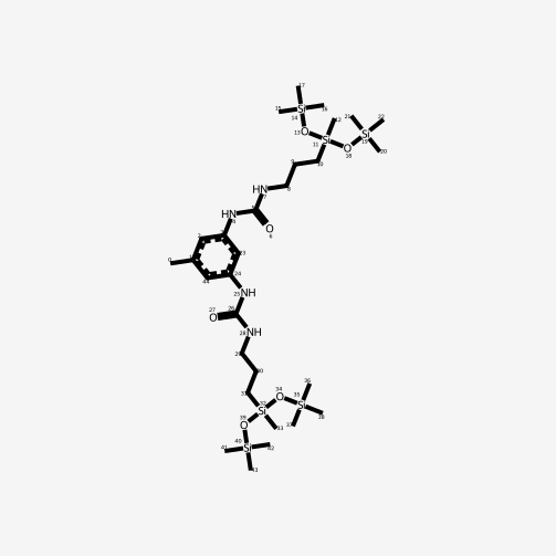 Cc1cc(NC(=O)NCCC[Si](C)(O[Si](C)(C)C)O[Si](C)(C)C)cc(NC(=O)NCCC[Si](C)(O[Si](C)(C)C)O[Si](C)(C)C)c1